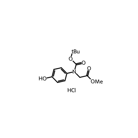 COC(=O)CN(C(=O)OC(C)(C)C)c1ccc(O)cc1.Cl